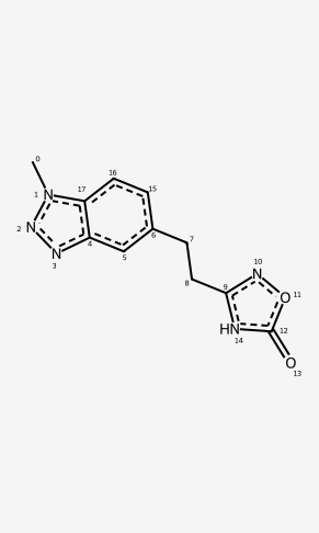 Cn1nnc2cc(CCc3noc(=O)[nH]3)ccc21